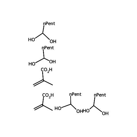 C=C(C)C(=O)O.C=C(C)C(=O)O.CCCCCC(O)O.CCCCCC(O)O.CCCCCC(O)O.CCCCCC(O)O